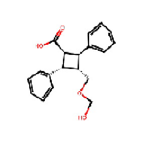 O=C(O)[C@H]1[C@@H](c2ccccc2)[C@H](COCO)[C@@H]1c1ccccc1